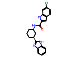 O=C(N[C@@H]1CCC[C@H](c2nc3ccccc3[nH]2)C1)c1cc2ccc(Cl)cc2[nH]1